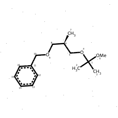 COC(C)(C)OC[C@H](C)COCc1ccccc1